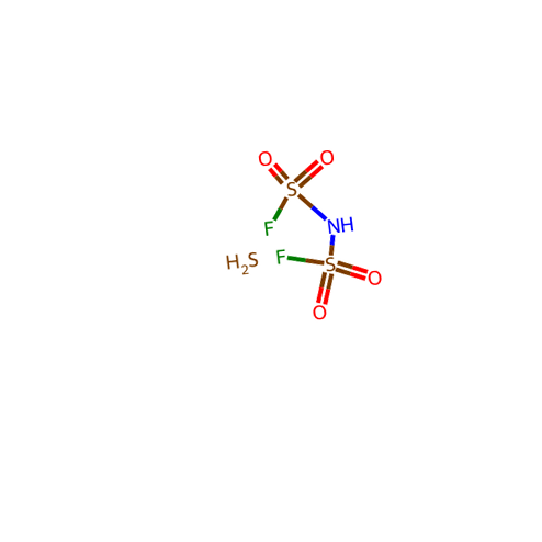 O=S(=O)(F)NS(=O)(=O)F.S